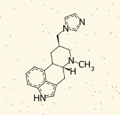 CN1C[C@H](Cn2ccnc2)CC2c3cccc4[nH]cc(c34)C[C@H]21